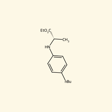 CCCCc1ccc(N[C@@H](C)C(=O)OCC)cc1